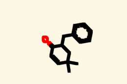 CC1(C)C=CC(=O)C(Cc2ccccc2)C1